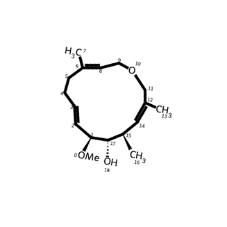 CO[C@H]1/C=C/CC/C(C)=C/COC/C(C)=C\[C@@H](C)[C@@H]1O